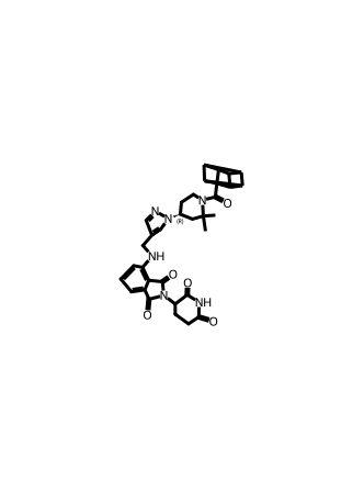 CC1(C)C[C@H](n2cc(CNc3cccc4c3C(=O)N(C3CCC(=O)NC3=O)C4=O)cn2)CCN1C(=O)C12C3C4C5C3C1C5C42